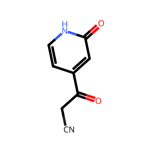 N#CCC(=O)c1cc[nH]c(=O)c1